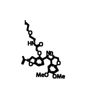 C=C(C)[C@H]1Cc2c(ccc(C3=NOC4COc5cc(OC)c(OC)cc5C34)c2OCC(=O)NCCOCCI)O1